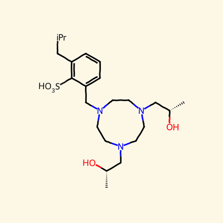 CC(C)Cc1cccc(CN2CCN(C[C@H](C)O)CCN(C[C@H](C)O)CC2)c1S(=O)(=O)O